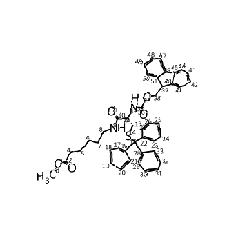 COC(=O)CCCCCNC(=O)[C@@H](CSC(c1ccccc1)(c1ccccc1)c1ccccc1)NC(=O)OCC1c2ccccc2-c2ccccc21